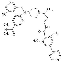 Cc1cc(-c2ccncc2)cc(C)c1C(=O)NCCC(C)N1CCC(N(Cc2cccc(C#N)c2)c2ccc(C(=O)N(C)C)cc2)CC1